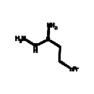 CCCCCN(N)NN